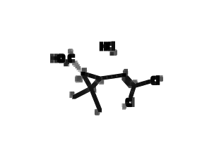 CC1(C)C(C=C(Cl)Cl)[C@H]1C(=O)O.Cl